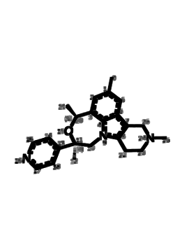 Cc1cc2c3c(c1)c1c(n3C[C@@](C)(c3ccncc3)O[C@H]2C)CCN(C)C1